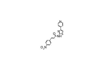 O=C(/C=C/c1ccc([N+](=O)[O-])cc1)Nc1nc(-c2ccncc2)cs1